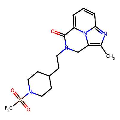 Cc1nc2cccc3n2c1CN(CCC1CCN(S(=O)(=O)C(F)(F)F)CC1)C3=O